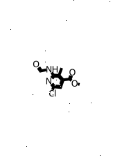 COC(=O)c1cc(Cl)nc(NC=O)c1C